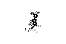 CC(C)=CCc1c(O)cc2oc(-c3ccc(O)c(O)c3)cc(=O)c2c1O